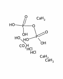 Cl.Cl.O=C(O)O.O=P(O)(O)OP(=O)(O)O.[CaH2].[CaH2].[CaH2]